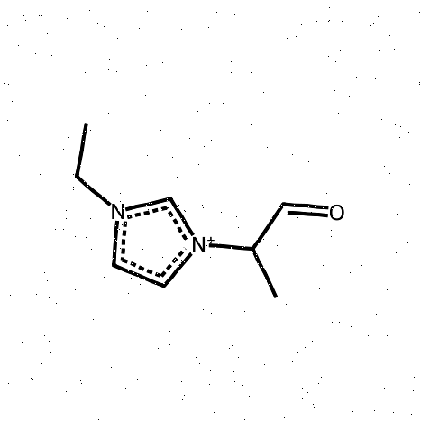 CCn1cc[n+](C(C)C=O)c1